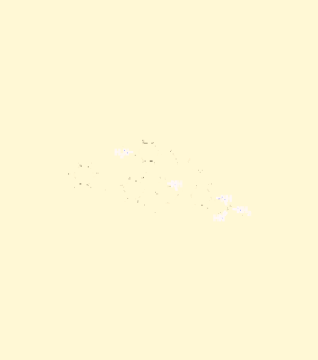 COC(=O)C=Cc1ccc(N)cc1.CS(=O)(=O)O.N=C(N)Nc1ccc(C(=O)N[C@@H](Cc2ccc(OCc3ccccc3)cc2)C(=O)O)cc1